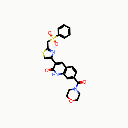 O=C(c1ccc2cc(-c3csc(CS(=O)(=O)c4ccccc4)n3)c(=O)[nH]c2c1)N1CCOCC1